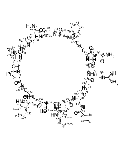 CC(C)C[C@@H]1NC(=O)[C@H](Cc2cnc[nH]2)NC(=O)[C@@H]2CCCN2C(=O)[C@H](CC(N)=O)NC(=O)[C@H](C)N(C)C(=O)[C@H](Cc2ccccc2)NC(=O)CSC[C@@H](C(=O)NCC(N)=O)NC(=O)[C@H](CCCNC(=N)N)NC(=O)[C@H](C)N(C)C(=O)[C@H](CCNC(=O)C2CCC2)NC(=O)[C@H](Cc2c[nH]c3ccccc23)NC(=O)[C@H](CO)NC(=O)[C@H](Cc2c[nH]c3ccccc23)NC(=O)CN(C)C1=O